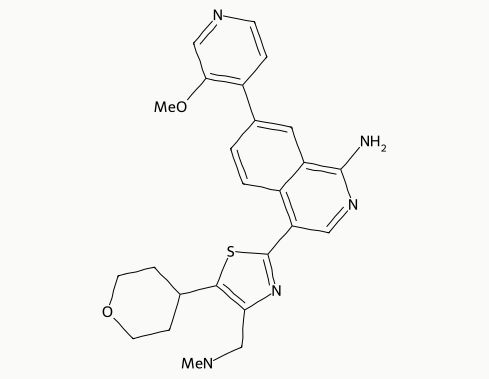 CNCc1nc(-c2cnc(N)c3cc(-c4ccncc4OC)ccc23)sc1C1CCOCC1